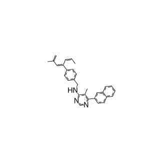 C=C(C)/C=C(\C=C/C)c1ccc(CNc2ncnc(-c3ccc4ccccc4c3)c2C)cc1